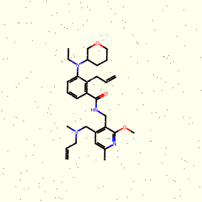 C=CCc1c(C(=O)NCc2c(CN(C)CC=C)cc(C)nc2OC)cccc1N(CC)C1CCCOC1